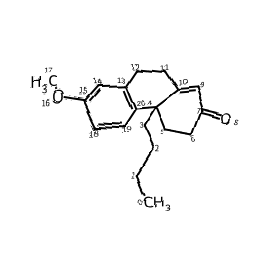 CCCCC12CCC(=O)C=C1CCc1cc(OC)ccc12